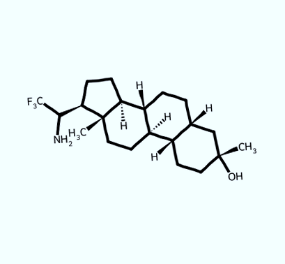 C[C@@]1(O)CC[C@H]2[C@H](CC[C@@H]3[C@@H]2CC[C@]2(C)[C@@H](C(N)C(F)(F)F)CC[C@@H]32)C1